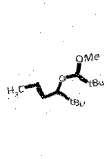 C/C=C/C(OC(OC)C(C)(C)C)C(C)(C)C